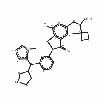 Cn1cnnc1C(c1cccc(N2Cc3c(cc(CN(C(=O)O)C4(C)CCC4)cc3C(F)(F)F)C2=O)c1)C1CCOC1